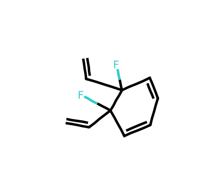 C=CC1(F)C=CC=CC1(F)C=C